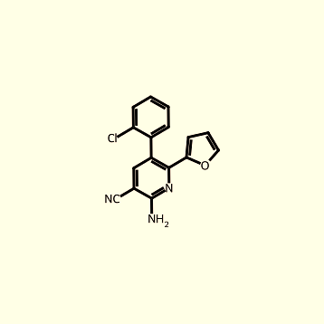 N#Cc1cc(-c2ccccc2Cl)c(-c2ccco2)nc1N